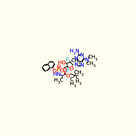 C[C@@H](NP(=O)(OC[C@@]1(F)O[C@@H](n2cnc3c(N(C)C)nc(N)nc32)[C@](C)(F)[C@@H]1O)Oc1cccc2ccccc12)C(=O)OCC(C)(C)C